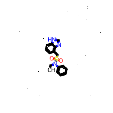 CCN(c1ccccc1)S(=O)(=O)Cc1cccc2[nH]cnc12